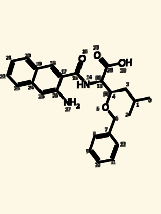 CC(C)C[C@@H](OCc1ccccc1)[C@@H](NC(=O)c1cc2ccccc2cc1N)C(=O)O